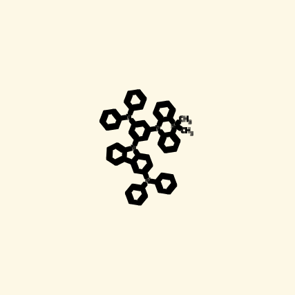 C[Si]1(C)c2ccccc2N(c2cc(N(c3ccccc3)c3ccccc3)cc(-n3c4ccccc4c4cc(N(c5ccccc5)c5ccccc5)ccc43)c2)c2ccccc21